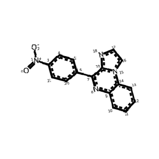 O=[N+]([O-])c1ccc(-c2nc3ccccc3n3ccnc23)cc1